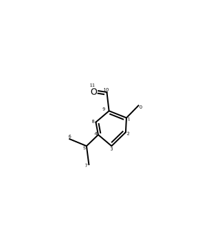 Cc1ccc(C(C)C)cc1C=O